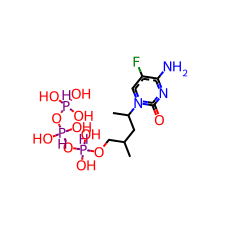 CC(CO[PH](O)(O)O[PH](O)(O)O[PH](O)(O)O)CC(C)n1cc(F)c(N)nc1=O